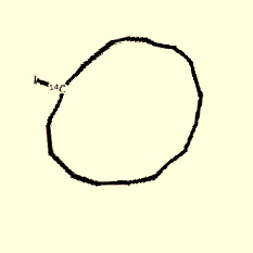 I[14CH]1CCCCCCCCCCCCCC1